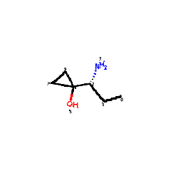 CC[C@@H](N)C1(O)CC1